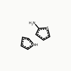 Nc1cccs1.c1cc[nH]c1